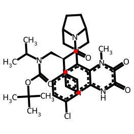 CC(C)N(C[C@@H](C(=O)N1C2CCC1CN(c1ncnc3[nH]c(=O)c(=O)n(C)c13)C2)c1ccc(Cl)cc1)C(=O)OC(C)(C)C